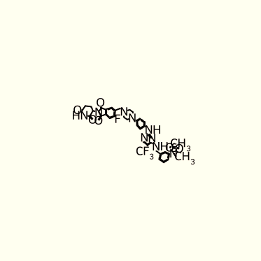 CN(c1cccc(CNc2nc(Nc3ccc(N4CCN(Cc5cc6c(cc5F)C(=O)N(C5CCC(=O)NC5=O)C6=O)CC4)cc3)ncc2C(F)(F)F)c1)S(C)(=O)=O